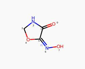 O=C1NCO/C1=N/O